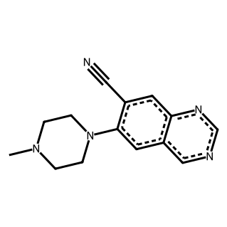 CN1CCN(c2cc3cncnc3cc2C#N)CC1